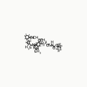 CNCc1ccccc1-c1csc(C(C)Nc2nc(C)nc3cc(OCCOCCNC(=O)CC45CC6CC(CC(C6)C4)C5)c(OC)cc23)c1